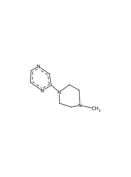 CN1CCN(c2[c]nccn2)CC1